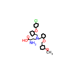 COc1cccc(COc2ccccc2CN(CC[C@H](N)C(=O)O)Cc2ccccc2Oc2ccc(Cl)cc2)c1